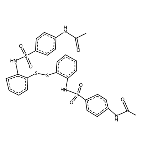 CC(=O)Nc1ccc(S(=O)(=O)Nc2ccccc2SSc2ccccc2NS(=O)(=O)c2ccc(NC(C)=O)cc2)cc1